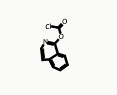 O=C(Cl)Oc1nccc2ccccc12